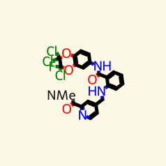 CNC(=O)c1cc(CNc2ccccc2C(=O)Nc2ccc3c(c2)OC(F)(Cl)C(Cl)(Cl)O3)ccn1